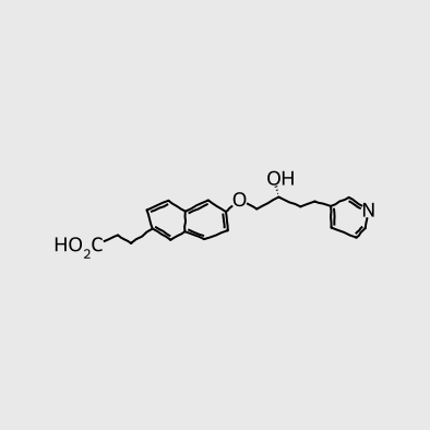 O=C(O)CCc1ccc2cc(OC[C@H](O)CCc3cccnc3)ccc2c1